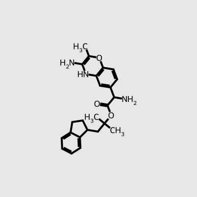 CC1=C(N)Nc2cc(C(N)C(=O)OC(C)(C)CC3CCc4ccccc43)ccc2O1